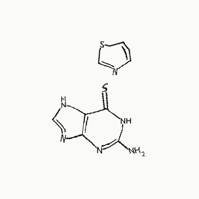 Nc1nc2nc[nH]c2c(=S)[nH]1.c1cscn1